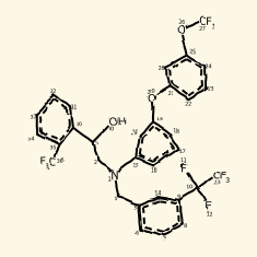 OC(CN(Cc1cccc(C(F)(F)C(F)(F)F)c1)c1cccc(Oc2cccc(OC(F)(F)F)c2)c1)c1ccccc1C(F)(F)F